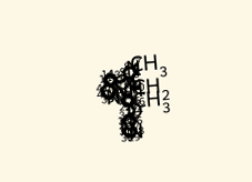 C=CCC1(F)CN(C)CCC1Oc1cccc2c1C(Nc1ccc(OC3=CC4=NC=CCN4C=C3)c(C)c1)=NC=C=C2